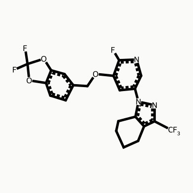 Fc1ncc(-n2nc(C(F)(F)F)c3c2CCCC3)cc1OCc1ccc2c(c1)OC(F)(F)O2